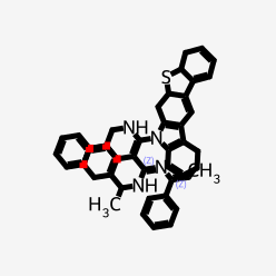 C/C=C(\N=C(/NC(C)C1=CC=CCC1)C1=C(n2c3c(c4c2CC2SC5CC=CC=C5C2=C4)CCC=C3)NCC(c2ccccc2)C1)c1ccccc1